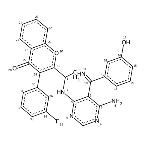 CC(Nc1ncnc(N)c1C(=N)c1cccc(O)c1)c1oc2ccccc2c(=O)c1-c1cccc(F)c1